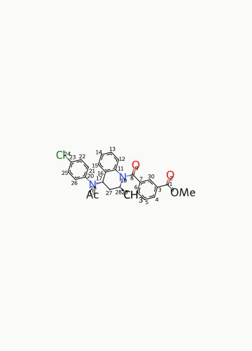 COC(=O)c1cccc(C(=O)N2c3ccccc3[C@H](N(C(C)=O)c3ccc(Cl)cc3)C[C@@H]2C)c1